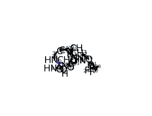 C/C1=C(/C=N)S(=O)(=O)NC(=O)c2ccc(-n3ccc(OCCC4(C(F)(F)F)CC4)n3)nc2N2CC(CCCCN1)CC2(C)C